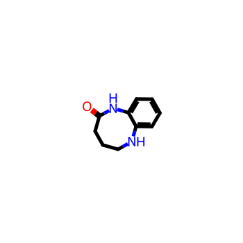 O=C1CCCNc2ccccc2N1